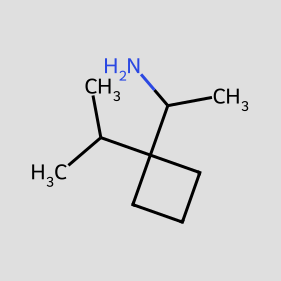 CC(C)C1(C(C)N)CCC1